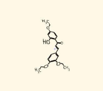 CCOc1ccc(C(=O)/C=C/c2ccc(OCC)c(OCC)c2)c(O)c1